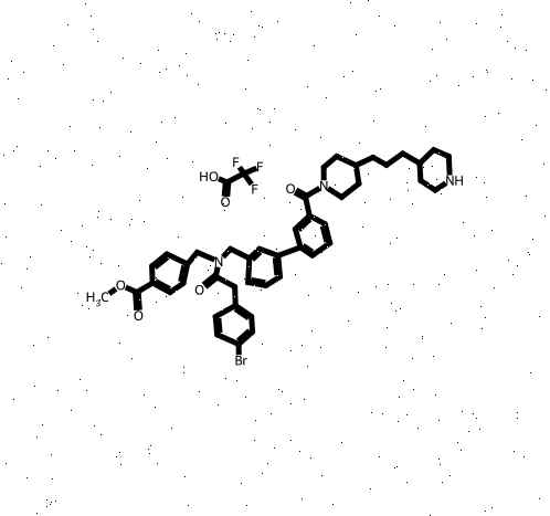 COC(=O)c1ccc(CN(Cc2cccc(-c3cccc(C(=O)N4CCC(CCCC5CCNCC5)CC4)c3)c2)C(=O)Cc2ccc(Br)cc2)cc1.O=C(O)C(F)(F)F